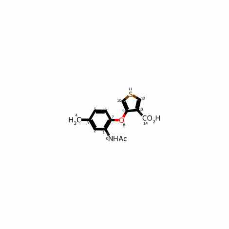 CC(=O)Nc1cc(C)ccc1Oc1cscc1C(=O)O